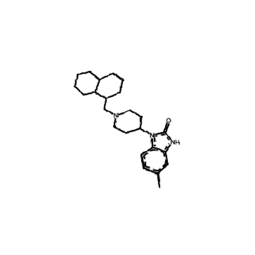 Cc1ccc2c(c1)[nH]c(=O)n2C1CCN(CC2CCCC3CCCCC32)CC1